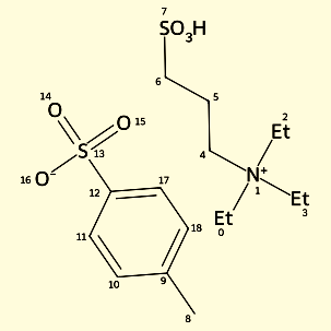 CC[N+](CC)(CC)CCCS(=O)(=O)O.Cc1ccc(S(=O)(=O)[O-])cc1